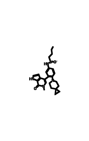 CCCC[S+]([O-])Nc1ccc(N2CCC3(CC2)CC3)c(-c2cn(C)c(=O)c3[nH]ccc23)c1